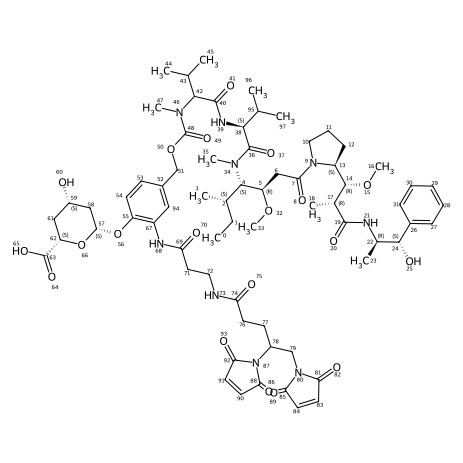 CC[C@H](C)[C@@H]([C@@H](CC(=O)N1CCC[C@H]1[C@H](OC)[C@@H](C)C(=O)N[C@H](C)[C@@H](O)c1ccccc1)OC)N(C)C(=O)[C@@H](NC(=O)C(C(C)C)N(C)C(=O)OCc1ccc(O[C@H]2C[C@@H](O)C[C@@H](C(=O)O)O2)c(NC(=O)CCNC(=O)CCC(CN2C(=O)C=CC2=O)N2C(=O)C=CC2=O)c1)C(C)C